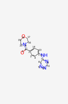 O=C(c1ccc(Nc2cnncn2)cc1)N1CCOCC1